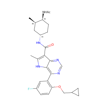 CC(=O)N[C@H]1CC[C@H](NC(=O)c2c(C)[nH]c3c(-c4cc(F)ccc4OCC4CC4)ncnc23)C[C@H]1C